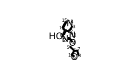 Oc1nc(OCC2CCOC2)nc2cnccc12